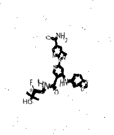 CC(C)(O)[C@H](F)CNC(=O)c1cnc(-n2ncc3cc(C(N)=O)cnc32)cc1Nc1ccc2ncoc2c1